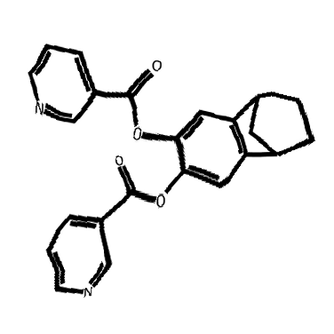 O=C(Oc1cc2c(cc1OC(=O)c1cccnc1)C1CCC2C1)c1cccnc1